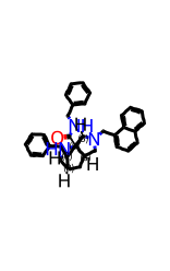 O=C(NCc1ccccc1)[C@]12NC[C@@H]3C[C@H]1CN(Cc1cccc4ccccc14)[C@H]2[C@@H]3Cc1ccccc1